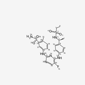 CCS(=O)(=O)N[C@@H](C)c1ccc(Nc2nc(Nc3ccc(C)c(S(N)(=O)=O)c3)ncc2F)cc1